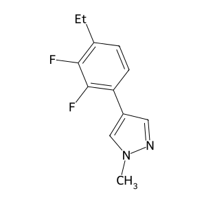 CCc1ccc(-c2cnn(C)c2)c(F)c1F